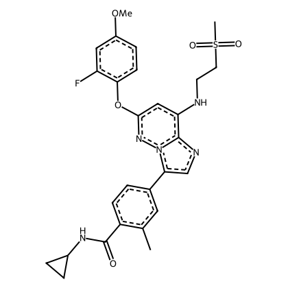 COc1ccc(Oc2cc(NCCS(C)(=O)=O)c3ncc(-c4ccc(C(=O)NC5CC5)c(C)c4)n3n2)c(F)c1